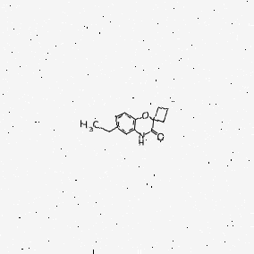 CCc1ccc2c(c1)NC(=O)C1(CCC1)O2